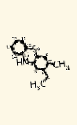 CCc1cc2c(cc1C)Sc1ccccc1N2